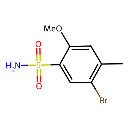 COc1cc(C)c(Br)cc1S(N)(=O)=O